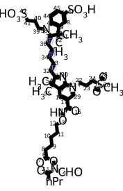 CCCC(=O)N(C=O)OC(=O)CCCCCONC(=O)c1cc2c([n+](CCCS(C)(=O)=O)c1)N=C(/C=C/C=C/C=C1/N(CCCS(=O)(=O)O)c3ccc(S(=O)(=O)O)cc3C1(C)C)C2(C)C